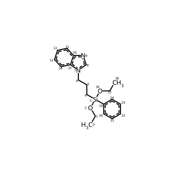 CCO[Si](CCCn1cnc2ccccc21)(OCC)c1ccccc1